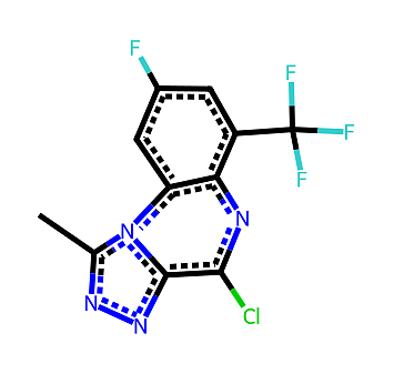 Cc1nnc2c(Cl)nc3c(C(F)(F)F)cc(F)cc3n12